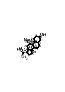 CC(O)[C@H]1CC[C@H]2[C@@H]3CCC4CC(O)CC[C@]4(C)[C@H]3CC[C@]12C.[NaH].[NaH]